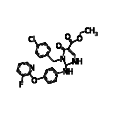 CCOC(=O)C1=CNC(Nc2ccc(Oc3ncccc3F)cc2)N(Cc2ccc(Cl)cc2)C1=O